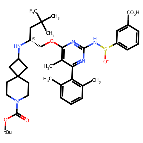 Cc1cccc(C)c1-c1nc(N[S+]([O-])c2cccc(C(=O)O)c2)nc(OC[C@@H](CC(C)(C)C(F)(F)F)NC2CC3(CCN(C(=O)OC(C)(C)C)CC3)C2)c1C